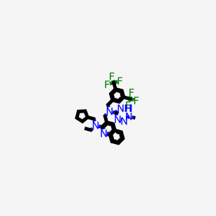 CCN(CC1CCCC1)c1nc2ccccc2cc1CN(Cc1cc(C(F)(F)F)cc(C(F)(F)F)c1)C(=N)/N=N\NC